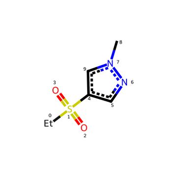 CCS(=O)(=O)c1cnn(C)c1